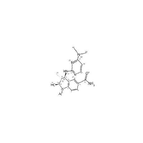 CC(=O)N1c2ccc(C(N)=O)cc2[C@H](Nc2nccc(N(C)C)n2)[C@@H](C)[C@@H]1O